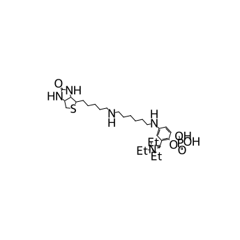 CC[N+](CC)(CC)Cc1cc(NCCCCCCNCCCCCC2SCC3NC(=O)NC32)ccc1OP(=O)(O)O